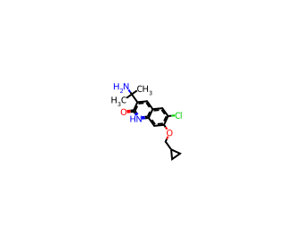 CC(C)(N)c1cc2cc(Cl)c(OCC3CC3)cc2[nH]c1=O